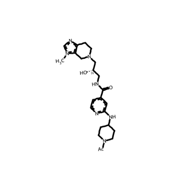 CC(=O)N1CCC(Nc2cc(C(=O)NC[C@H](O)CN3CCc4ncn(C)c4C3)ccn2)CC1